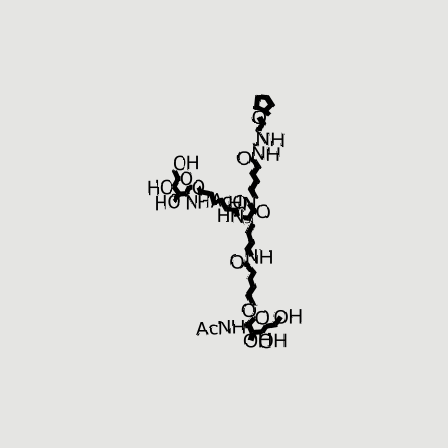 CC(=O)NC1C(OCCCCCC(=O)NCCCC[C@H](NC(=O)CCCCCOC2OC(CO)C(O)C(O)C2NC(C)=O)C(=O)NCCCCCC(=O)NCNCCOC2(C)CCCC2)OC(CO)C(O)C1O